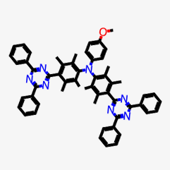 COc1ccc(N(c2c(C)c(C)c(-c3nc(-c4ccccc4)nc(-c4ccccc4)n3)c(C)c2C)c2c(C)c(C)c(-c3nc(-c4ccccc4)nc(-c4ccccc4)n3)c(C)c2C)cc1